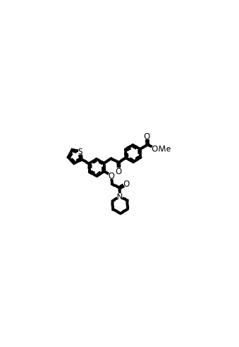 COC(=O)c1ccc(C(=O)Cc2cc(-c3cccs3)ccc2OCC(=O)N2CCCCC2)cc1